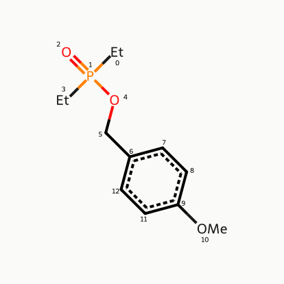 CCP(=O)(CC)OCc1ccc(OC)cc1